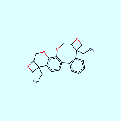 CCC12COC1COc1c(ccc3c1OCC1OCC31CC)-c1ccccc12